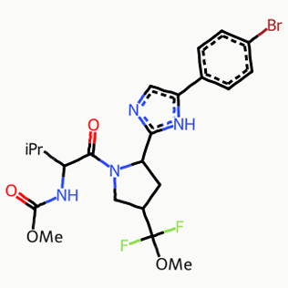 COC(=O)NC(C(=O)N1CC(C(F)(F)OC)CC1c1ncc(-c2ccc(Br)cc2)[nH]1)C(C)C